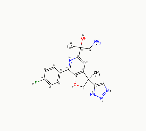 C[C@]1(c2cnn[nH]2)COc2c1cc(C(O)(CN)C(F)(F)F)nc2-c1ccc(F)cc1